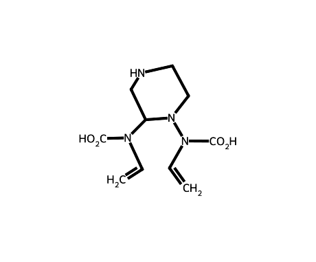 C=CN(C(=O)O)C1CNCCN1N(C=C)C(=O)O